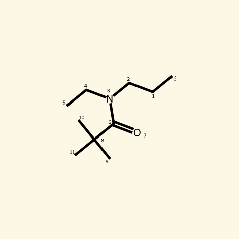 [CH2]CCN(CC)C(=O)C(C)(C)C